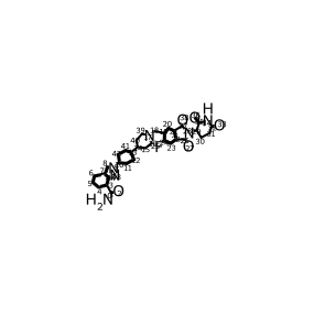 NC(=O)c1cccc2cn(-c3ccc(C4CCN(Cc5cc6c(cc5F)C(=O)N(C5CCC(=O)NC5=O)C6=O)CC4)cc3)nc12